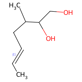 C/C=C/CC(C)C(O)CO